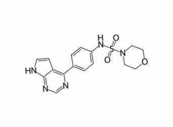 O=S(=O)(Nc1ccc(-c2ncnc3[nH]ccc23)cc1)N1CCOCC1